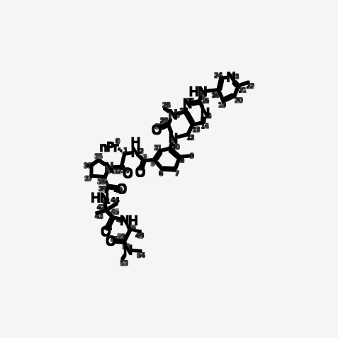 CCC[C@H](NC(=O)c1ccc(C)c(N2Cc3cnc(Nc4ccc(C)nc4)nc3N(C)C2=O)c1)C(=O)N1CCC[C@H]1C(=O)NC(C)(C)C(=O)N[C@@H](C)C(=O)N(C)C